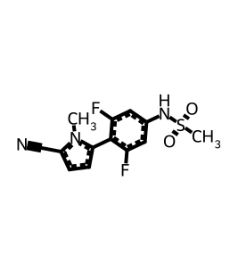 Cn1c(C#N)ccc1-c1c(F)cc(NS(C)(=O)=O)cc1F